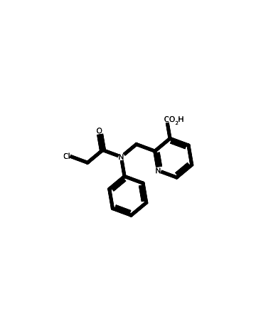 O=C(O)c1cccnc1CN(C(=O)CCl)c1ccccc1